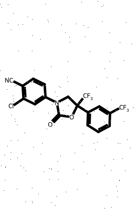 N#Cc1ccc(N2CC(c3cccc(C(F)(F)F)c3)(C(F)(F)F)OC2=O)cc1Cl